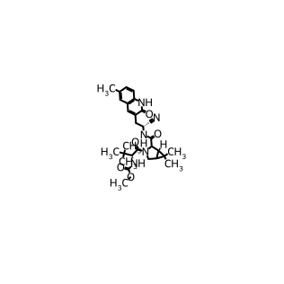 COC(=O)N[C@@H](C(=O)N1CC2[C@H](C1C(=O)N[C@@H](C#N)Cc1cc3cc(C)ccc3[nH]c1=O)C2(C)C)C(C)(C)C